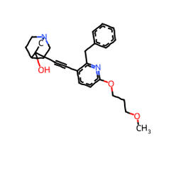 COCCCOc1ccc(C#CC2(O)CN3CCC2CC3)c(Cc2ccccc2)n1